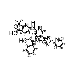 CC1(C)OC(O)c2ccc(Nc3cc(N[C@H](CO)c4ccccc4)c(-c4nc(-c5ccccn5)no4)cn3)nc21